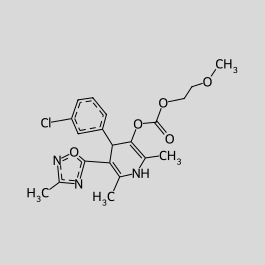 COCCOC(=O)OC1=C(C)NC(C)=C(c2nc(C)no2)C1c1cccc(Cl)c1